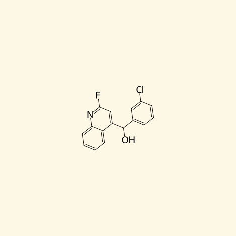 OC(c1cccc(Cl)c1)c1cc(F)nc2ccccc12